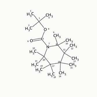 CC(C)(C)OC(=O)N1C(C)(C)C(C)(C)C(C)(C)C(C)(C)C1(C)C